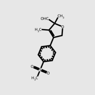 CC1=C(c2ccc(S(C)(=O)=O)cc2)COC1(C)C=O